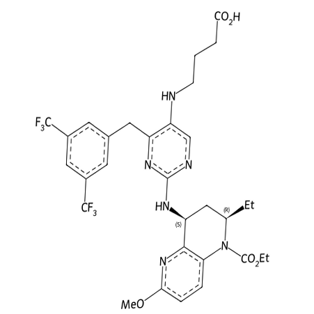 CCOC(=O)N1c2ccc(OC)nc2[C@@H](Nc2ncc(NCCCC(=O)O)c(Cc3cc(C(F)(F)F)cc(C(F)(F)F)c3)n2)C[C@H]1CC